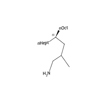 CCCCCCCC[C@H](CCCCCCC)CC(C)CN